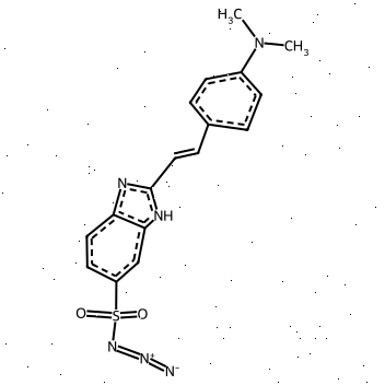 CN(C)c1ccc(C=Cc2nc3ccc(S(=O)(=O)N=[N+]=[N-])cc3[nH]2)cc1